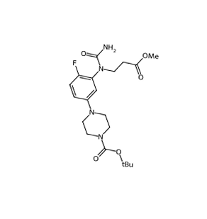 COC(=O)CCN(C(N)=O)c1cc(N2CCN(C(=O)OC(C)(C)C)CC2)ccc1F